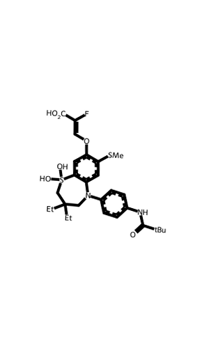 CCC1(CC)CN(c2ccc(NC(=O)C(C)(C)C)cc2)c2cc(SC)c(O/C=C(\F)C(=O)O)cc2S(O)(O)C1